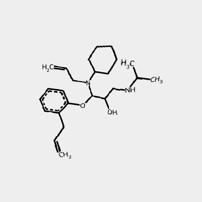 C=CCc1ccccc1OC(C(O)CNC(C)C)N(CC=C)C1CCCCC1